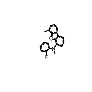 Cc1cccc2c1oc1c(N(C)c3ccccc3F)cccc12